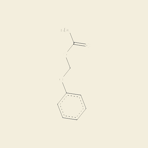 CCCCC(=O)OCOc1ccccc1